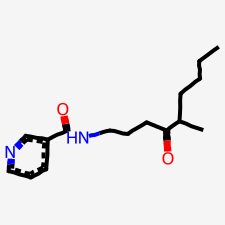 CCCCC(C)C(=O)CCCNC(=O)c1cccnc1